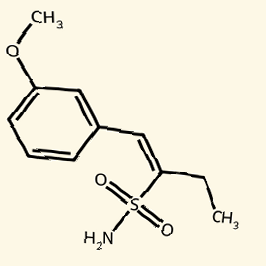 CCC(=Cc1cccc(OC)c1)S(N)(=O)=O